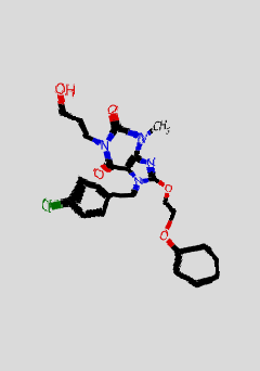 Cn1c(=O)n(CCCO)c(=O)c2c1nc(OCCOC1CCCCC1)n2Cc1ccc(Cl)cc1